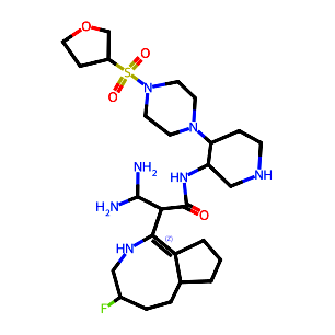 NC(N)C(C(=O)NC1CNCCC1N1CCN(S(=O)(=O)C2CCOC2)CC1)/C1=C2\CCCC2CCC(F)CN1